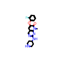 Cn1c(=O)c(Oc2ccccc2F)cc2cnc(NC3CCNCC3)nc21